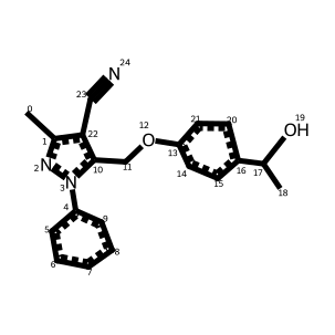 Cc1nn(-c2ccccc2)c(COc2ccc(C(C)O)cc2)c1C#N